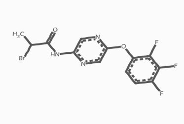 CC(Br)C(=O)Nc1cnc(Oc2ccc(F)c(F)c2F)cn1